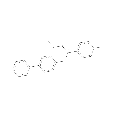 Fc1ccc([C@H](CCCl)Oc2ccc(-c3ccccc3)cc2)cc1